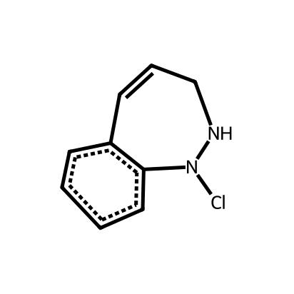 ClN1NCC=Cc2ccccc21